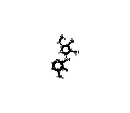 Cc1c(N)ncnc1N[C@@H]1O[C@H](CN)[C@@H](O)[C@H]1O